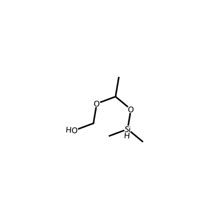 CC(OCO)O[SiH](C)C